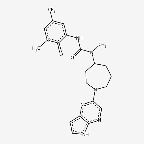 CN(C(=O)Nc1cc(C(F)(F)F)cn(C)c1=O)C1CCCN(c2cnc3[nH]ccc3n2)CC1